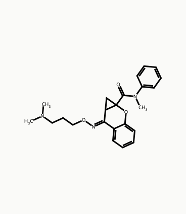 CN(C)CCCON=C1c2ccccc2OC2(C(=O)N(C)c3ccccc3)CC12